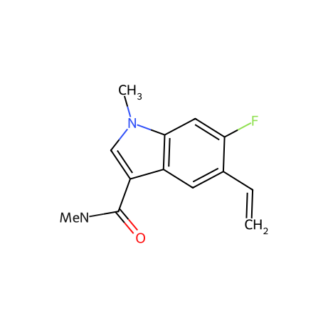 C=Cc1cc2c(C(=O)NC)cn(C)c2cc1F